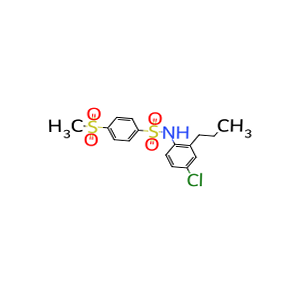 CCCc1cc(Cl)ccc1NS(=O)(=O)c1ccc(S(C)(=O)=O)cc1